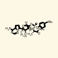 CC(C)COC(=O)[C@H](C)NP(=O)(Oc1ccc(C(C)(C)C)cc1)OC1[C@H]2O[C@@](C)(c3ccc4c(N)ncnn34)[C@H](O)[C@@]12O